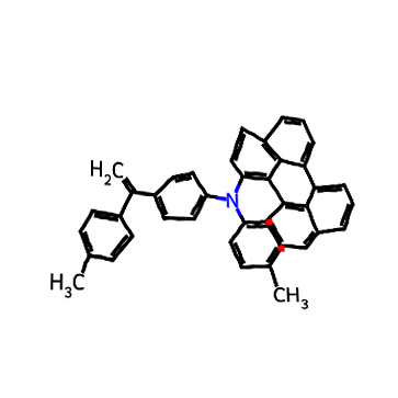 C=C(c1ccc(C)cc1)c1ccc(N(c2ccc(C)cc2)c2ccc3cccc4c5cccc6cccc(c2c34)c65)cc1